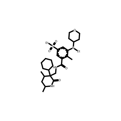 CCN(c1cc(S(=O)(=O)CC)cc(C(=O)NCC2(C3CCCCC3)C(=O)NC(C)CC2C)c1C)C1CCOCC1